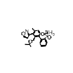 Cc1ccc(-c2ccccc2S(N)(=O)=O)c(COC(C)C)c1-c1ccon1